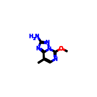 COc1ncc(C)c2nc(N)nn12